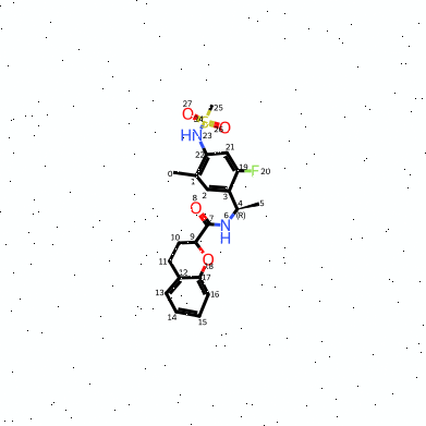 Cc1cc([C@@H](C)NC(=O)C2CCc3ccccc3O2)c(F)cc1NS(C)(=O)=O